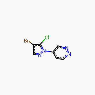 Clc1c(Br)cnn1-c1ccnnc1